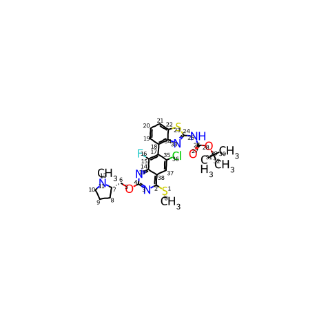 CSc1nc(OC[C@@H]2CCCN2C)nc2c(F)c(-c3cccc4sc(NC(=O)OC(C)(C)C)nc34)c(Cl)cc12